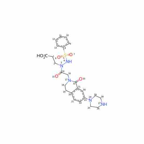 O=C(O)CCN(NS(=O)(=O)c1ccccc1)C(=O)CN1CCc2ccc(N3CCNCC3)cc2C1=O